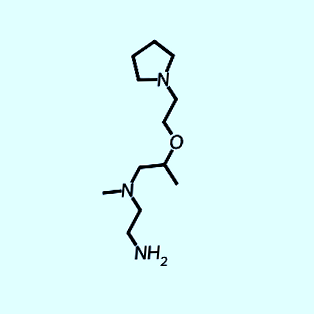 CC(CN(C)CCN)OCCN1CCCC1